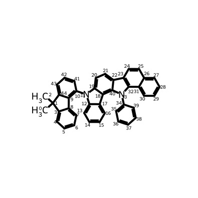 CC1(C)c2ccccc2-c2c(-n3c4ccccc4c4c3ccc3c5ccc6ccccc6c5n(-c5ccccc5)c34)cccc21